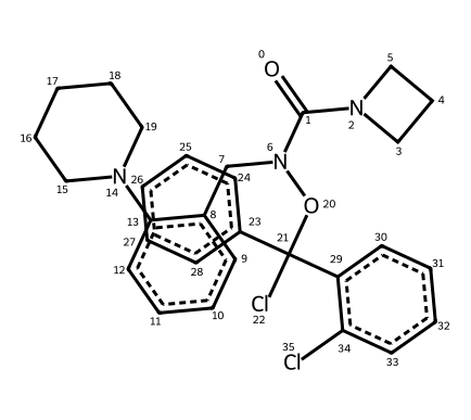 O=C(N1CCC1)N(Cc1ccccc1N1CCCCC1)OC(Cl)(c1ccccc1)c1ccccc1Cl